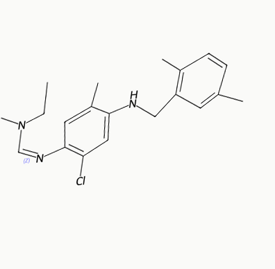 CCN(C)/C=N\c1cc(C)c(NCc2cc(C)ccc2C)cc1Cl